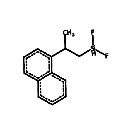 CC(C[SiH](F)F)c1cccc2ccccc12